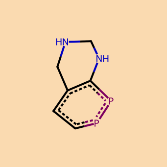 c1cc2c(pp1)NCNC2